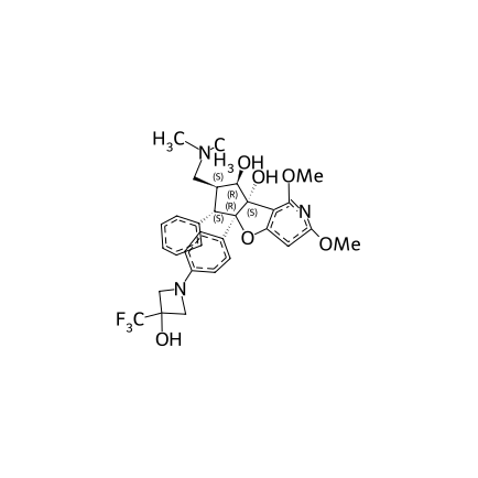 COc1cc2c(c(OC)n1)[C@]1(O)[C@H](O)[C@H](CN(C)C)[C@@H](c3ccccc3)[C@]1(c1ccc(N3CC(O)(C(F)(F)F)C3)cc1)O2